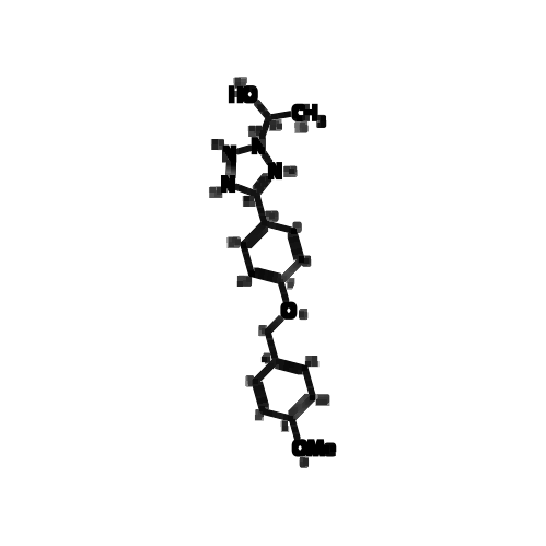 COc1ccc(COc2ccc(-c3nnn(C(C)O)n3)cc2)cc1